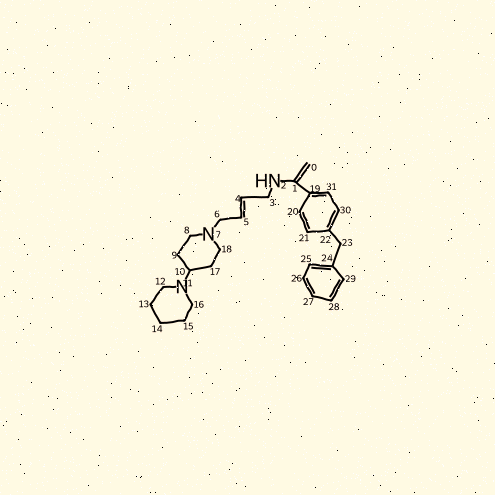 C=C(NC/C=C/CN1CCC(N2CCCCC2)CC1)c1ccc(Cc2ccccc2)cc1